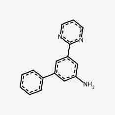 Nc1cc(-c2ccccc2)cc(-c2ncccn2)c1